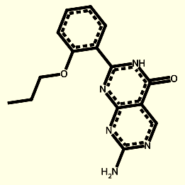 CCCOc1ccccc1-c1nc2nc(N)ncc2c(=O)[nH]1